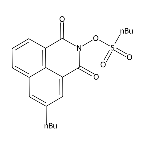 CCCCc1cc2c3c(cccc3c1)C(=O)N(OS(=O)(=O)CCCC)C2=O